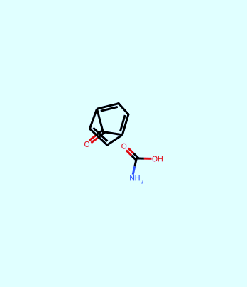 NC(=O)O.O=C1C2=CC=C1C=C2